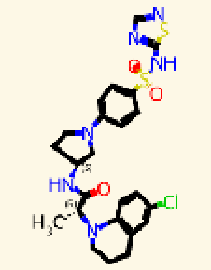 C[C@H](C(=O)N[C@H]1CCN(c2ccc(S(=O)(=O)Nc3ncns3)cc2)C1)N1CCCc2cc(Cl)ccc21